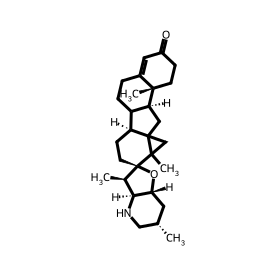 C[C@@H]1CN[C@H]2[C@@H](C)[C@@]3(CC[C@H]4C5CCC6=CC(=O)CC[C@]6(C)[C@H]5CC45CC53C)O[C@@H]2C1